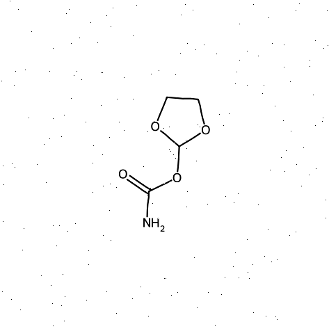 NC(=O)OC1OCCO1